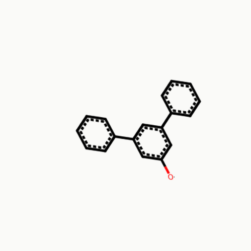 [O]c1cc(-c2ccccc2)cc(-c2ccccc2)c1